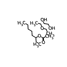 CCCCCC(CC)OC(C)=O.CCOCC.OCCO